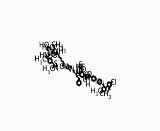 Cc1ncsc1-c1ccc([C@H](C)NC(=O)[C@@H]2C[C@@H](O)CN2C(=O)[C@@H](NC(=O)CCCCCC(=O)N2CC3CN(CC[C@H](CSc4ccccc4)Nc4ccc(S(=O)(=O)NC(=O)c5ccc(N6CCN(CC7=C(c8ccc(Cl)cc8F)CCC(C)(C)C7)CC6)cc5)cc4S(=O)(=O)C(F)(F)F)CC3C2)C(C)(C)C)cc1